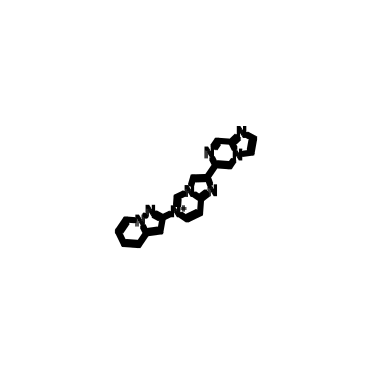 c1ccn2nc(-[n+]3ccc4nc(-c5cn6ccnc6cn5)cn4c3)cc2c1